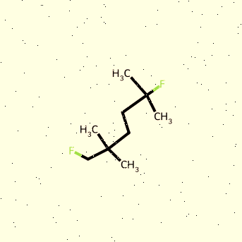 CC(C)(F)CCC(C)(C)CF